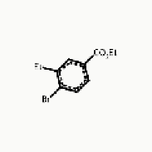 CCOC(=O)c1ccc(Br)c(CC)c1